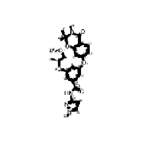 COC[C@H](C)Oc1cc(Oc2ccc3c(c2)OC(C)(C)N(C)C3=O)cc(C(=O)Nc2ccn(C)n2)c1